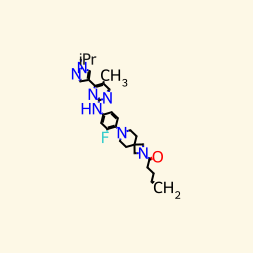 C=CCCC(=O)N1CC2(CCN(c3ccc(Nc4ncc(C)c(-c5cnn(C(C)C)c5)n4)cc3F)CC2)C1